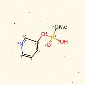 COP(=O)(O)Oc1cccnc1